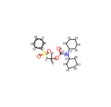 CC(C)(CS(=O)(=O)c1ccccc1)OC(=O)N(C1CCCCC1)C1CCCCC1